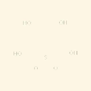 O=S1(=O)C(O)=C(O)C(O)=C1O